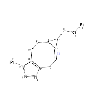 CCOCC1/C2=C/Cc3nnn(C(C)C)c3CCC21